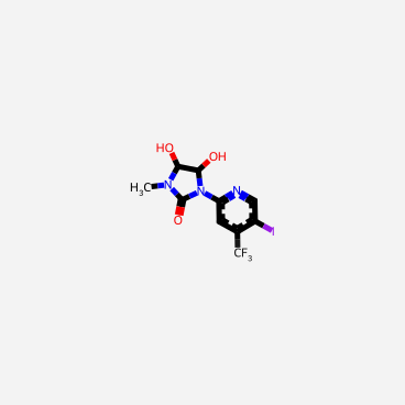 CN1C(=O)N(c2cc(C(F)(F)F)c(I)cn2)C(O)C1O